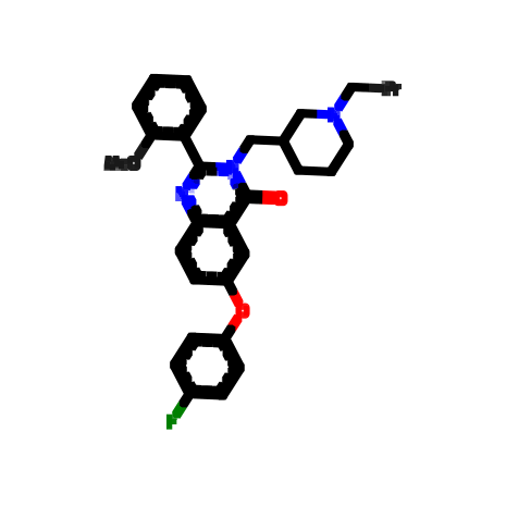 COc1ccccc1-c1nc2ccc(Oc3ccc(F)cc3)cc2c(=O)n1CC1CCCN(CC(C)C)C1